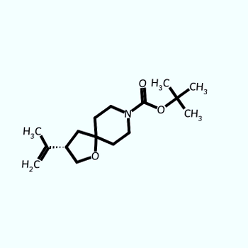 C=C(C)[C@H]1COC2(CCN(C(=O)OC(C)(C)C)CC2)C1